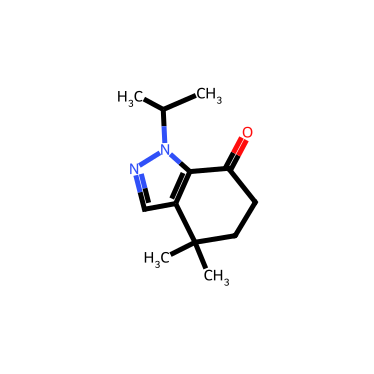 CC(C)n1ncc2c1C(=O)CCC2(C)C